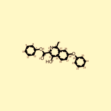 Cc1nc(C(=O)Oc2ccccc2)c(O)c2ccc(Oc3ccccc3)cc12